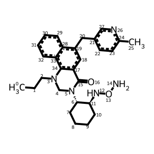 CCCN1CN([C@H]2CCCC[C@@H]2NON)C(=O)c2cc(Cc3ccc(C)nc3)c3ccccc3c21